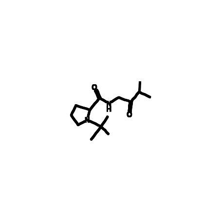 CC(C)C(=O)CNC(=O)C1CCCN1C(C)(C)C